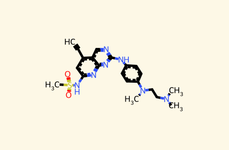 C#Cc1cc(NS(C)(=O)=O)nc2nc(Nc3ccc(N(C)CCN(C)C)cc3)ncc12